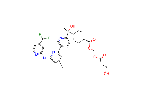 Cc1cc(Nc2cc(C(F)F)ccn2)nc(-c2ccc([C@](C)(O)[C@H]3CC[C@H](C(=O)OCOC(=O)CCO)CC3)nc2)c1